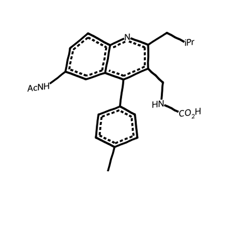 CC(=O)Nc1ccc2nc(CC(C)C)c(CNC(=O)O)c(-c3ccc(C)cc3)c2c1